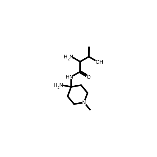 CC(O)C(N)C(=O)NC1(N)CCN(C)CC1